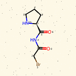 O=C(CBr)NC(=O)[C@@H]1CCCN1